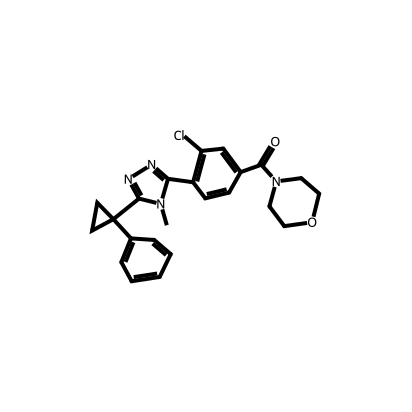 Cn1c(-c2ccc(C(=O)N3CCOCC3)cc2Cl)nnc1C1(c2ccccc2)CC1